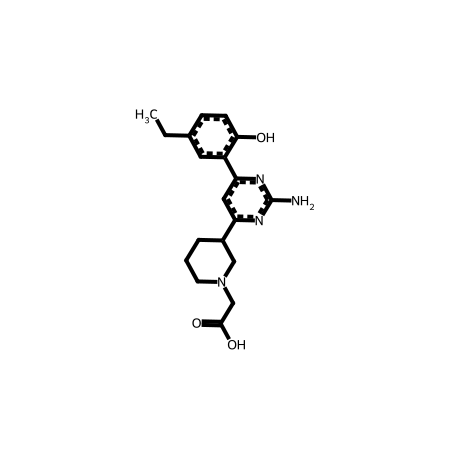 CCc1ccc(O)c(-c2cc(C3CCCN(CC(=O)O)C3)nc(N)n2)c1